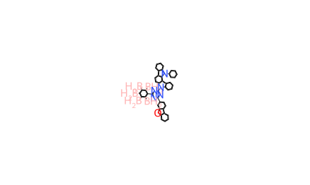 Bc1c(B)c(B)c(-c2nc(-c3ccc4c(c3)oc3ccccc34)nc(-n3c4ccccc4c4c3ccc3c5ccccc5n(-c5ccccc5)c34)n2)c(B)c1B